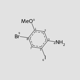 COc1cc(N)c(I)cc1Br